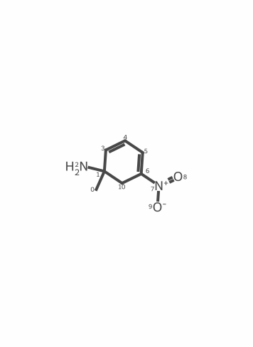 CC1(N)C=CC=C([N+](=O)[O-])C1